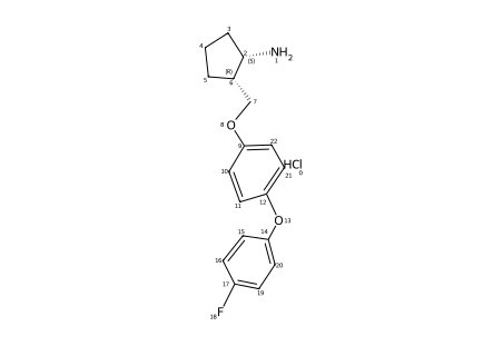 Cl.N[C@H]1CCC[C@H]1COc1ccc(Oc2ccc(F)cc2)cc1